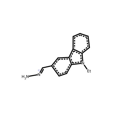 CCn1c2ccccc2c2cc(/C=N/N)ccc21